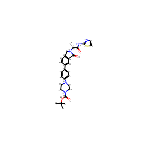 C[C@H](C(=O)Nc1nccs1)N1Cc2ccc(-c3ccc(N4CCN(C(=O)OC(C)(C)C)CC4)cc3)cc2C1=O